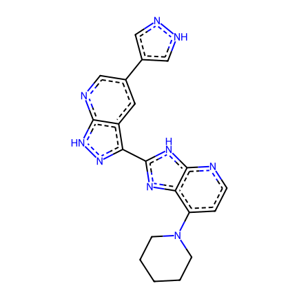 c1cc(N2CCCCC2)c2nc(-c3n[nH]c4ncc(-c5cn[nH]c5)cc34)[nH]c2n1